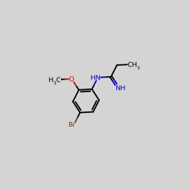 CCC(=N)Nc1ccc(Br)cc1OC